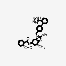 CCCc1nc2c(n1Cc1ccc(-c3ccccc3-c3nnn[nH]3)cc1)CC(=NC(=O)c1ccccc1C=O)C=C2C